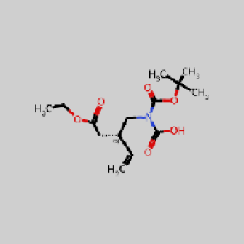 C=C[C@H](CC(=O)OCC)CN(C(=O)O)C(=O)OC(C)(C)C